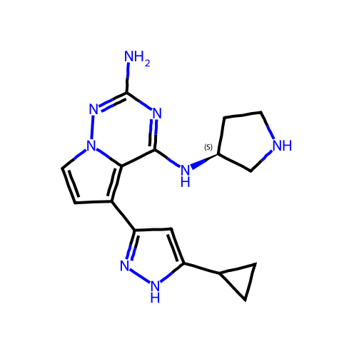 Nc1nc(N[C@H]2CCNC2)c2c(-c3cc(C4CC4)[nH]n3)ccn2n1